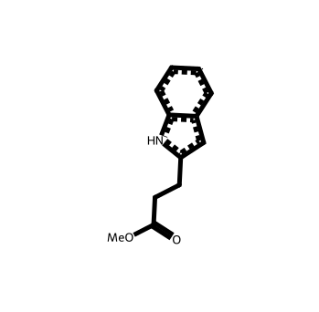 COC(=O)CCc1cc2c[c]ccc2[nH]1